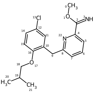 COC(=N)c1cccc(Cc2cc(Cl)ccc2OCC(C)C)n1